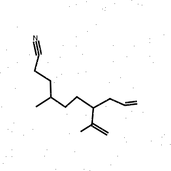 C=CCC(CCC(C)CCC#N)C(=C)C